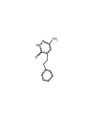 Cc1cc(CCc2ccccc2)c(=O)[nH]n1